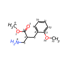 COC(=O)C(CN)Cc1ccccc1OC